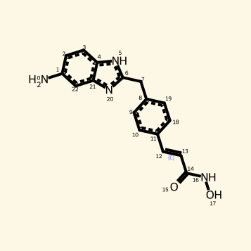 Nc1ccc2[nH]c(Cc3ccc(/C=C/C(=O)NO)cc3)nc2c1